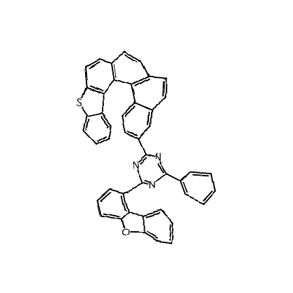 c1ccc(-c2nc(-c3ccc4c(ccc5ccc6ccc7sc8ccccc8c7c6c54)c3)nc(-c3cccc4oc5ccccc5c34)n2)cc1